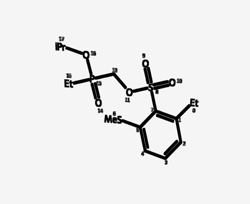 CCc1cccc(SC)c1S(=O)(=O)OCP(=O)(CC)OC(C)C